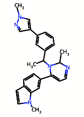 CC1N=CC=C(c2ccc3ccn(C)c3c2)N1C(C)c1cccc(-c2cnn(C)c2)c1